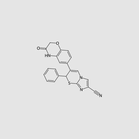 N#Cc1cn2c(n1)SC(c1ccccc1)C(c1ccc3c(c1)NC(=O)CO3)=C2